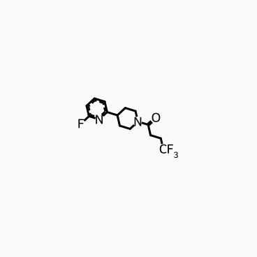 O=C(CCC(F)(F)F)N1CCC(c2cccc(F)n2)CC1